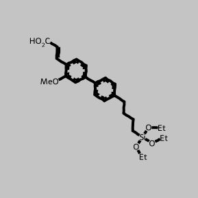 CCO[Si](CCCCc1ccc(-c2ccc(C=CC(=O)O)c(OC)c2)cc1)(OCC)OCC